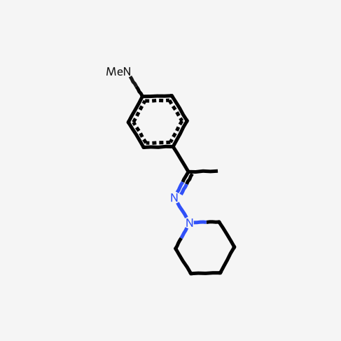 CNc1ccc(/C(C)=N/N2CCCCC2)cc1